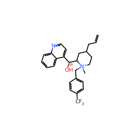 C=CCC1CC[N+](C)(Cc2ccc(C(F)(F)F)cc2)C([C@@H](O)c2ccnc3ccccc23)C1